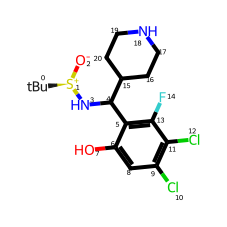 CC(C)(C)[S@@+]([O-])NC(c1c(O)cc(Cl)c(Cl)c1F)C1CCNCC1